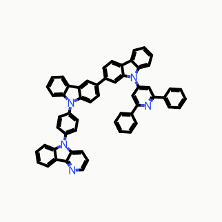 c1ccc(-c2cc(-n3c4ccccc4c4ccc(-c5ccc6c(c5)c5ccccc5n6-c5ccc(-n6c7ccccc7c7ncccc76)cc5)cc43)cc(-c3ccccc3)n2)cc1